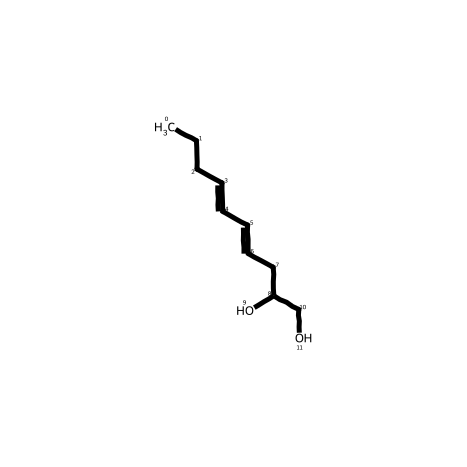 CCCC=CC=CCC(O)CO